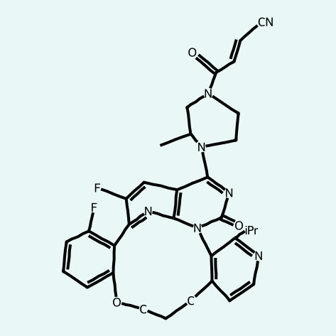 CC(C)c1nccc2c1-n1c(=O)nc(N3CCN(C(=O)/C=C/C#N)CC3C)c3cc(F)c(nc31)-c1c(F)cccc1OCCC2